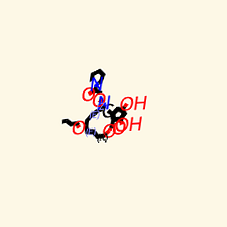 CCCCOC1/C=C/C[C@@H](C)OC(=O)c2c(O)cc(O)cc2CC(=N/OCC(=O)N2CCCCC2)/C=C/C1